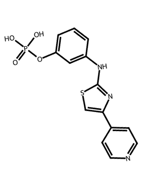 O=P(O)(O)Oc1cccc(Nc2nc(-c3ccncc3)cs2)c1